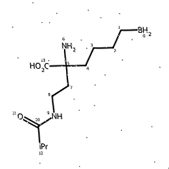 BCCCCC(N)(CCNC(=O)C(C)C)C(=O)O